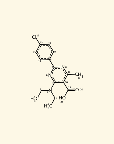 CCN(CC)c1nc(-c2ccc(Cl)cc2)nc(C)c1C(=O)O